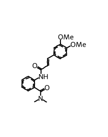 COc1ccc(/C=C/C(=O)Nc2ccccc2C(=O)N(C)C)cc1OC